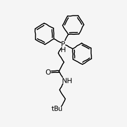 CC(C)(C)CCNC(=O)CC[PH](c1ccccc1)(c1ccccc1)c1ccccc1